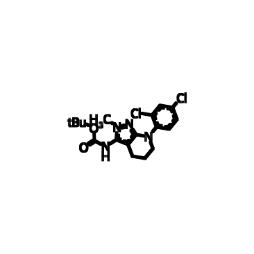 Cn1nc2c(c1NC(=O)OC(C)(C)C)CCCN2c1ccc(Cl)cc1Cl